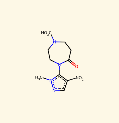 Cn1ncc([N+](=O)[O-])c1N1CCN(C(=O)O)CCC1=O